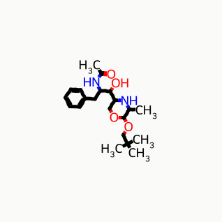 CC(=O)NC(Cc1ccccc1)C(O)C1COC(OCC(C)(C)C)C(C)N1